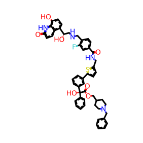 O=C(NCc1ccc(-c2cccc([C@](O)(C(=O)OCC3CCN(Cc4ccccc4)CC3)c3ccccc3)c2)s1)c1ccc(CNC[C@H](O)c2ccc(O)c3[nH]c(=O)ccc23)c(F)c1